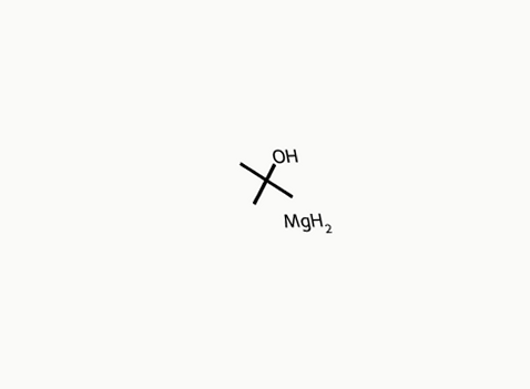 CC(C)(C)O.[MgH2]